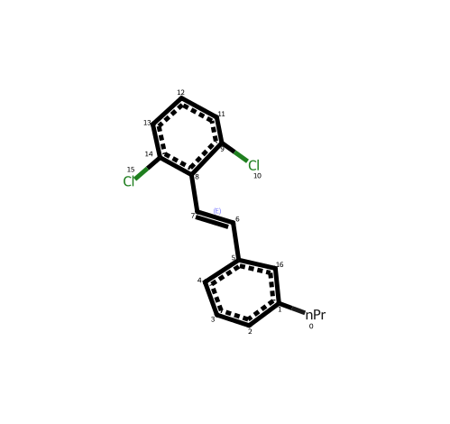 CCCc1cccc(/C=C/c2c(Cl)cccc2Cl)c1